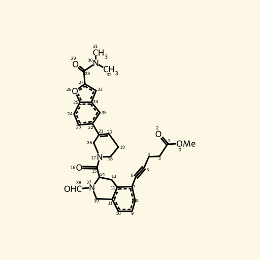 COC(=O)CCC#Cc1cccc2c1CC(C(=O)N1CCC=C(c3ccc4oc(C(=O)N(C)C)cc4c3)C1)N(C=O)C2